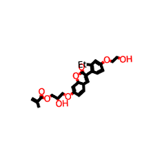 C=C(C)C(=O)OCC(O)COC1=CC2OC(=O)C(c3ccc(OCCO)cc3CC)=CC2C=C1